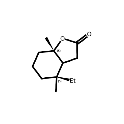 CC[C@@]1(C)CCC[C@]2(C)OC(=O)CC12